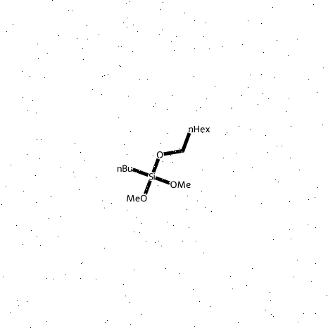 CCCCCCCO[Si](CCCC)(OC)OC